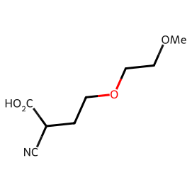 COCCOCCC(C#N)C(=O)O